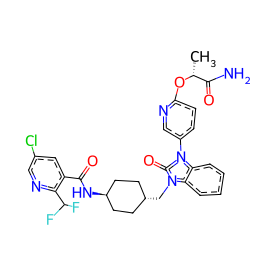 C[C@@H](Oc1ccc(-n2c(=O)n(C[C@H]3CC[C@H](NC(=O)c4cc(Cl)cnc4C(F)F)CC3)c3ccccc32)cn1)C(N)=O